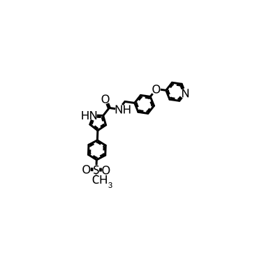 CS(=O)(=O)c1ccc(-c2c[nH]c(C(=O)NCc3cccc(Oc4ccncc4)c3)c2)cc1